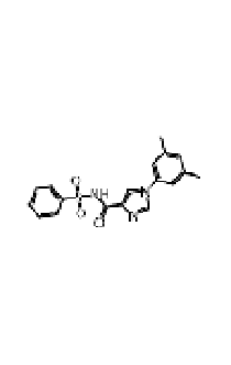 Cc1cc(C)cc(-n2cnc(C(=O)NS(=O)(=O)c3ccccc3)c2)c1